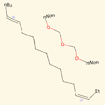 CC/C=C\CCCCCCCC/C=C/CCCC.CCCCCCCCCOCOCOCCCCCCCCC